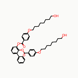 O=C(Oc1cccc(-c2ccccc2)c1OC(=O)c1ccc(OCCCCCCCCO)cc1)c1ccc(OCCCCCCCCO)cc1